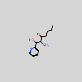 CCCCC(=O)C(N)C(O)c1ccccn1